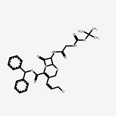 CC(C)(C)OC(=O)NCC(=O)NC1C(=O)N2C(C(=O)OC(c3ccccc3)c3ccccc3)=C(/C=C\CCl)CSC12